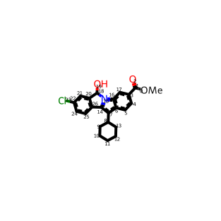 COC(=O)c1ccc2c(C3CCCCC3)c3n(c2c1)C(O)c1cc(Cl)ccc1-3